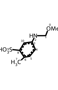 COCNc1ccc(C)c(S(=O)(=O)O)c1